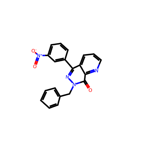 O=c1c2ncccc2c(-c2cccc([N+](=O)[O-])c2)nn1Cc1ccccc1